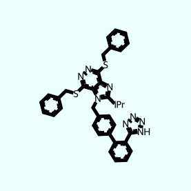 CC(C)c1nc2c(SCc3ccccc3)nnc(SCc3ccccc3)c2n1Cc1ccc(-c2ccccc2-c2nnn[nH]2)cc1